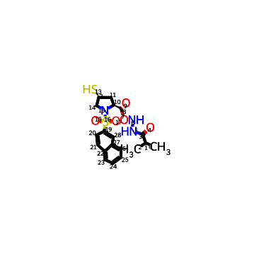 CC(C)C(=O)NNOC(=O)[C@@H]1C[C@@H](S)CN1S(=O)(=O)c1ccc2ccccc2c1